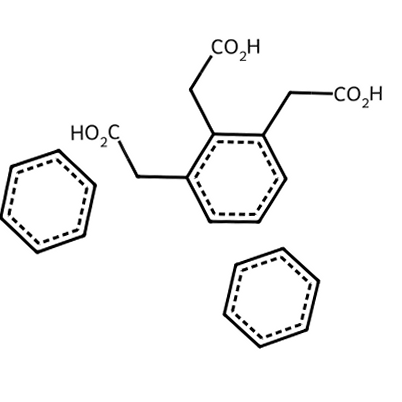 O=C(O)Cc1cccc(CC(=O)O)c1CC(=O)O.c1ccccc1.c1ccccc1